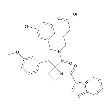 COc1cccc(CC2(C(=O)N(CCCC(=O)O)Cc3cccc(Cl)c3)CCN2C(=O)c2csc3ccccc23)c1